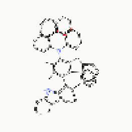 Cc1c(C)c(N(c2ccccc2-c2ccccc2)c2ccccc2-c2ccccc2)c2c(c1-c1c(-c3ccccc3)ccc3c1[nH]c1ccccc13)-c1ccccc1C2